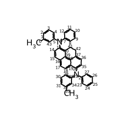 Cc1cccc(N(c2ccccc2)c2ccc3ccc4c(N(c5ccccc5)c5cccc(C)c5)ccc5c4c3c2CC5)c1